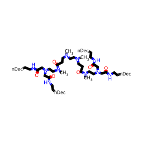 CCCCCCCCCCCCNC(=O)CN(CCN(C)C(=O)CCN(C)CCN(C)CCC(=O)N(C)CCN(CC(=O)NCCCCCCCCCCCC)CC(=O)NCCCCCCCCCCCC)CC(=O)NCCCCCCCCCCCC